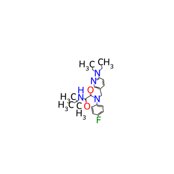 CCN(CC)c1ccc(CN(C(=O)C(=O)NC(C)(C)C)c2ccc(F)cc2)cn1